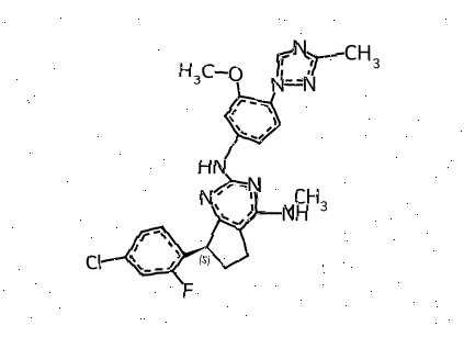 CNc1nc(Nc2ccc(-n3cnc(C)n3)c(OC)c2)nc2c1CC[C@H]2c1ccc(Cl)cc1F